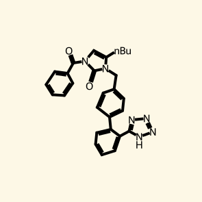 CCCCc1cn(C(=O)c2ccccc2)c(=O)n1Cc1ccc(-c2ccccc2-c2nnn[nH]2)cc1